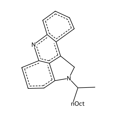 CCCCCCCCC(C)N1Cc2c3ccccc3nc3cccc1c23